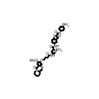 COc1cc2c(cc1OCCCC(=O)Nc1cc(C(=O)Nc3ccc4sc(C(=O)Nc5ccc(N)cc5)cc4c3)n(C)c1)N=CC1CCCCCN1C2=O